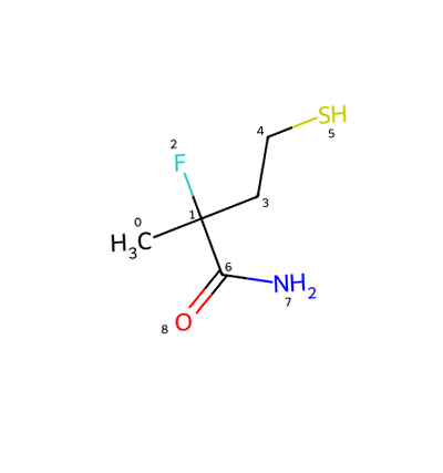 CC(F)(CCS)C(N)=O